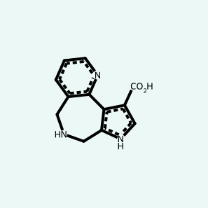 O=C(O)c1c[nH]c2c1-c1ncccc1CNC2